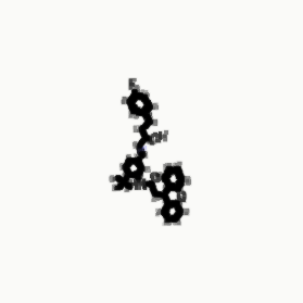 CC(C)(C)c1ccc(/C=C/C(O)CCc2ccc(F)cc2)cc1NC(=O)CC1c2ccccc2Oc2ccccc21